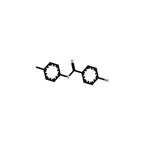 CC(=O)c1ccc(C(=O)Sc2ccc(C)cc2)cc1